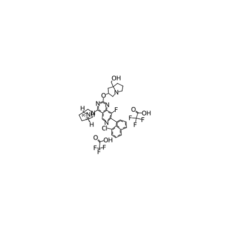 O=C(O)C(F)(F)F.O=C(O)C(F)(F)F.OCC12CCCN1CC(Oc1nc(N3C[C@H]4CC[C@@H](C3)N4)c3cnc(-c4cccc5cccc(Cl)c45)c(F)c3n1)C2